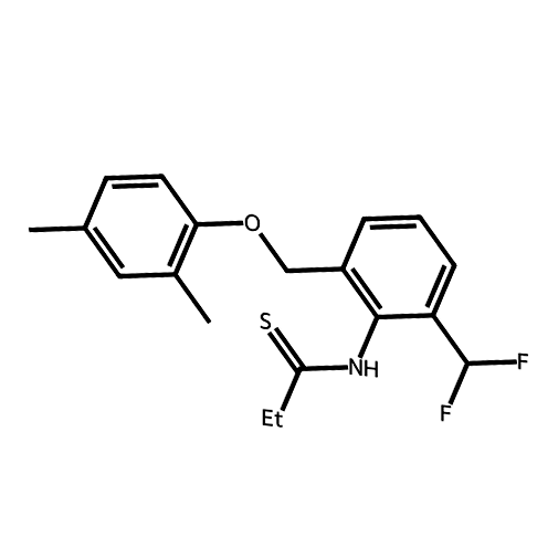 CCC(=S)Nc1c(COc2ccc(C)cc2C)cccc1C(F)F